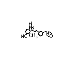 Cc1c(C#N)ccc2[nH]nc(C=Cc3cccc(CN4CCOCC4)c3)c12